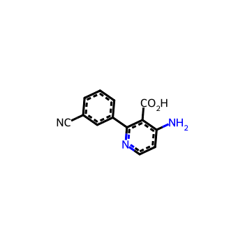 N#Cc1cccc(-c2nccc(N)c2C(=O)O)c1